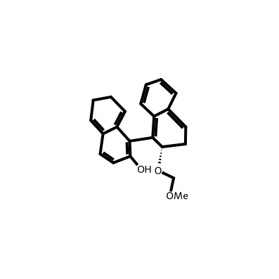 COCO[C@H]1CC=c2ccccc2=C1c1c(O)ccc2c1=CCCC=2